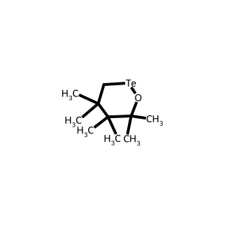 CC1(C)C[Te]OC(C)(C)C1(C)C